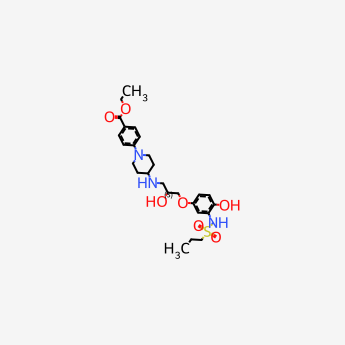 CCCS(=O)(=O)Nc1cc(OC[C@@H](O)CNC2CCN(c3ccc(C(=O)OCC)cc3)CC2)ccc1O